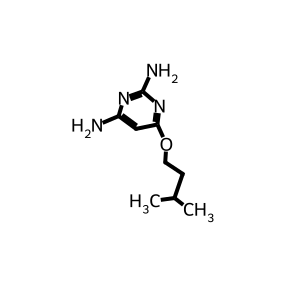 CC(C)CCOc1cc(N)nc(N)n1